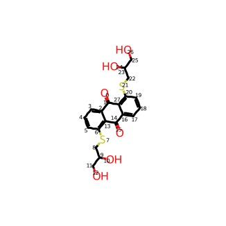 O=C1c2cccc(SCC(O)CO)c2C(=O)c2cccc(SCC(O)CO)c21